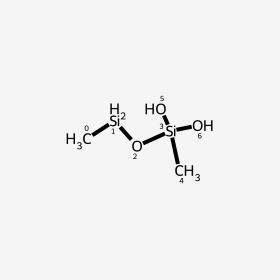 C[SiH2]O[Si](C)(O)O